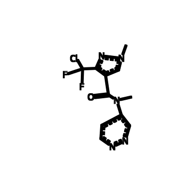 CN(C(=O)c1cn(C)nc1C(F)(F)Cl)c1ccnnc1